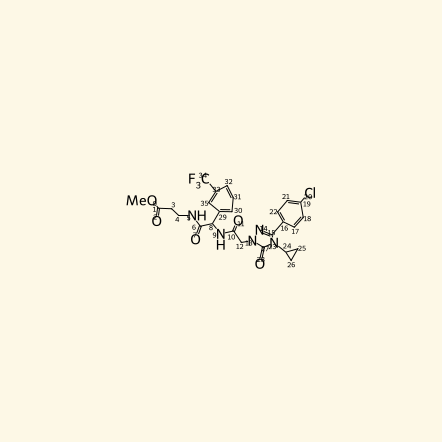 COC(=O)CCNC(=O)C(NC(=O)Cn1nc(-c2ccc(Cl)cc2)n(C2CC2)c1=O)c1cccc(C(F)(F)F)c1